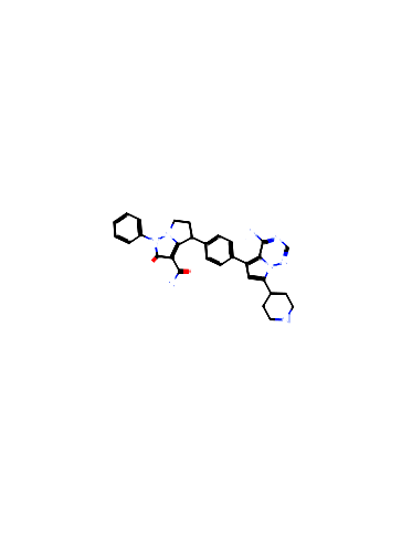 NC(=O)c1c2n(n(-c3ccccc3)c1=O)CCC2c1ccc(-c2cc(C3CCNCC3)n3ncnc(N)c23)cc1